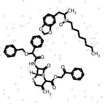 C=C1CS[C@@H]2C(NC(=O)C(OCc3ccccc3)c3ccccc3)C(=O)N2C1C(=O)OCC(=O)c1ccccc1.CCCCCCCC[S+]([O-])C(C)Cc1ccc2c(c1)OCO2